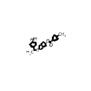 C=C(OC1CC2CC(OC(=O)c3ccc(C)cc3)CC2C1)c1ccc(CCC)cc1